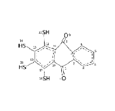 O=C1c2ccccc2C(=O)c2c(S)c(S)c(S)c(S)c21